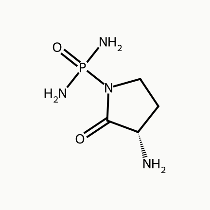 N[C@H]1CCN(P(N)(N)=O)C1=O